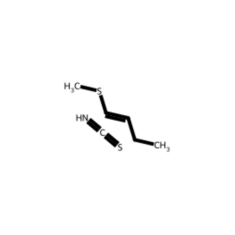 CCC=CSC.N=C=S